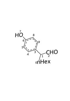 CCCCCCC(C=O)c1ccc(O)cc1